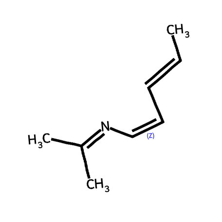 CC=C/C=C\N=C(C)C